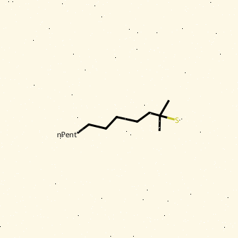 CCCCCCCCCCC(C)(C)[S]